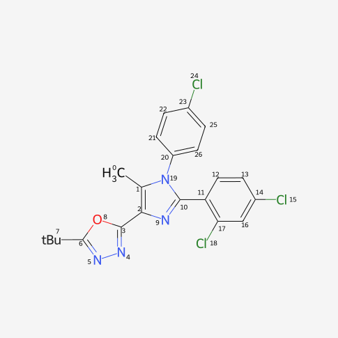 Cc1c(-c2nnc(C(C)(C)C)o2)nc(-c2ccc(Cl)cc2Cl)n1-c1ccc(Cl)cc1